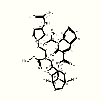 COC(=O)N(CCN1CCC(NC(C)=O)C1)CC(O)CN1[C@@H]2CC[C@H]1C[C@H](NC(=O)c1cc3ccccc3n(C(C)C)c1=O)C2